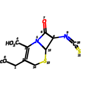 CC(=O)OCC1=C(C(=O)O)N2C(=O)C(N=C=S)C2SC1